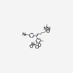 CON=C(Cl)c1cc(/C(=C\CCCc2nc(C)no2)c2ccc(C#N)cc2)cc(C)c1OC